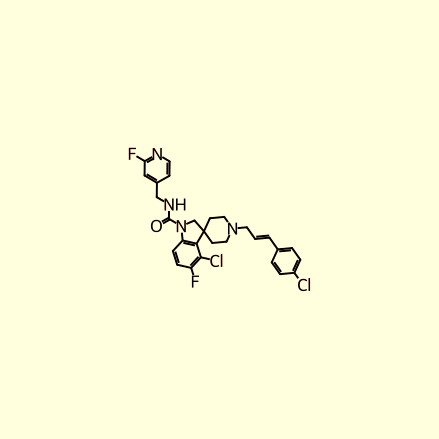 O=C(NCc1ccnc(F)c1)N1CC2(CCN(CC=Cc3ccc(Cl)cc3)CC2)c2c1ccc(F)c2Cl